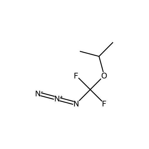 CC(C)OC(F)(F)N=[N+]=[N-]